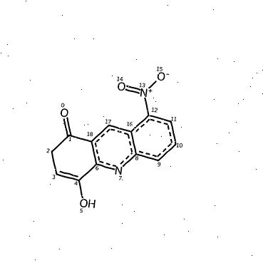 O=C1CC=C(O)c2nc3cccc([N+](=O)[O-])c3cc21